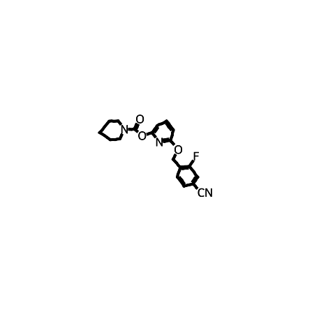 N#Cc1ccc(COc2cccc(OC(=O)N3CCCCC3)n2)c(F)c1